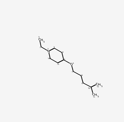 CCN1CCC(OCCCC(C)C)CC1